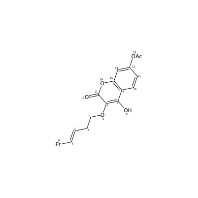 CC/C=C/CCOc1c(O)c2ccc(OC(C)=O)cc2oc1=O